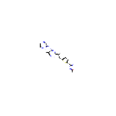 CC(=C/N)/C(=N\C=C(/C)Cc1ccc(-c2noc(C(F)(F)F)n2)s1)Nc1cnccn1